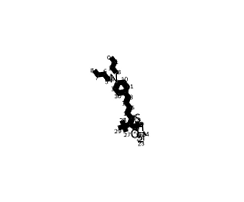 CCCCN(CCCC)c1ccc(/C=C/C=C/c2scc(O[SiH](C)C)c2C(C)(C)C)cc1